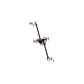 CCCCCCCCCCCCCCCCCCCCCCCCc1c(C(=O)O)ccc(O)c1Sc1c(O)ccc(C(=O)O)c1CCCCCCCCCCCCCCCCCCCCCCCC